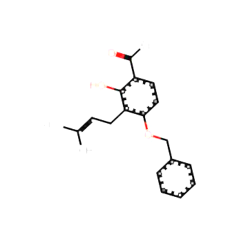 CC(=O)c1ccc(OCc2ccccc2)c(CC=C(C)C)c1O